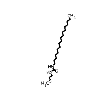 CCCCCCCCCCCCCCCCCCNC(=O)NCCSC